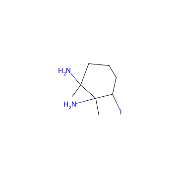 CC1(N)CCCC(I)C1(C)N